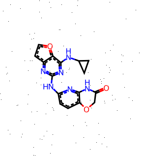 O=C1COc2ccc(Nc3nc(NC4CC4)c4occc4n3)nc2N1